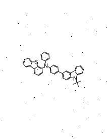 CC(C)(C)n1c2ccccc2c2cc(-c3ccc(N(c4ccccc4)c4cccc5c4sc4ccccc45)cc3)ccc21